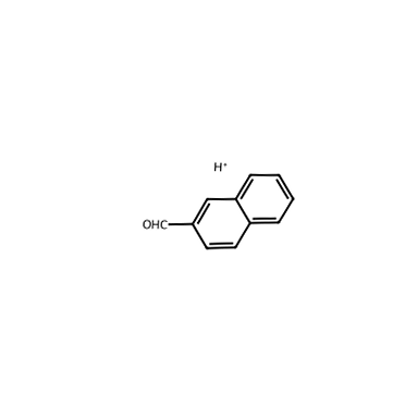 O=Cc1ccc2ccccc2c1.[H+]